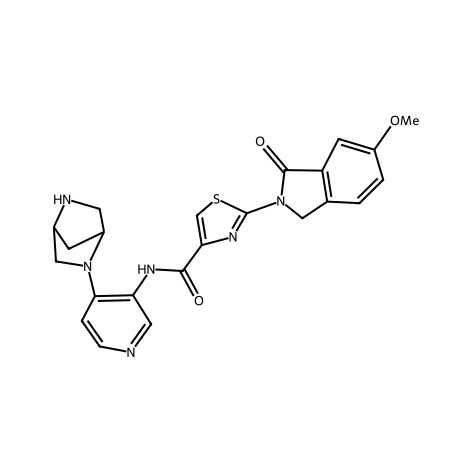 COc1ccc2c(c1)C(=O)N(c1nc(C(=O)Nc3cnccc3N3CC4CC3CN4)cs1)C2